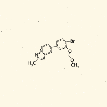 COCOc1cc(-c2ccn3nc(C)cc3c2)ccc1Br